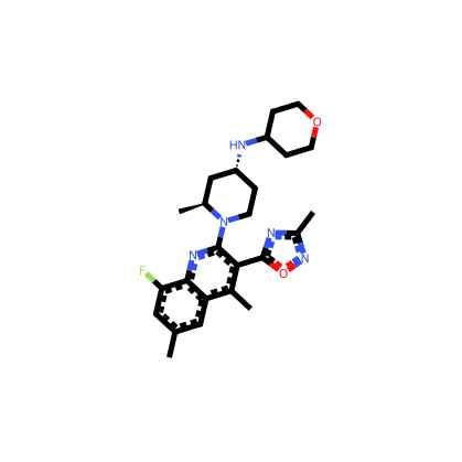 Cc1cc(F)c2nc(N3CC[C@@H](NC4CCOCC4)C[C@@H]3C)c(-c3nc(C)no3)c(C)c2c1